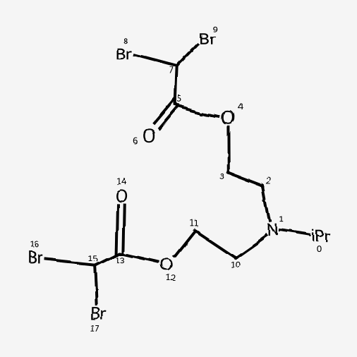 CC(C)N(CCOC(=O)C(Br)Br)CCOC(=O)C(Br)Br